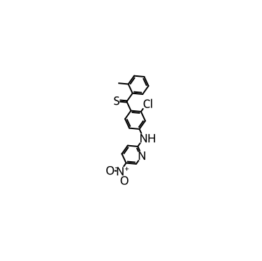 Cc1ccccc1C(=S)c1ccc(Nc2ccc([N+](=O)[O-])cn2)cc1Cl